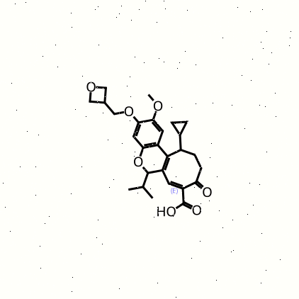 COc1cc2c(cc1OCC1COC1)OC(C(C)C)C1=C2C(C2CC2)CCC(=O)/C(C(=O)O)=C\1